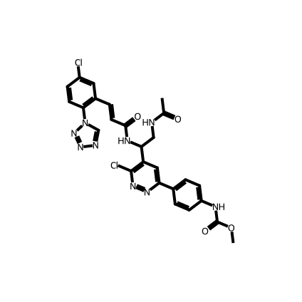 COC(=O)Nc1ccc(-c2cc(C(CNC(C)=O)NC(=O)C=Cc3cc(Cl)ccc3-n3cnnn3)c(Cl)nn2)cc1